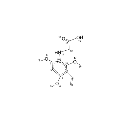 C=Cc1c(OC)cc(OC)c(NCC(=O)O)c1OC